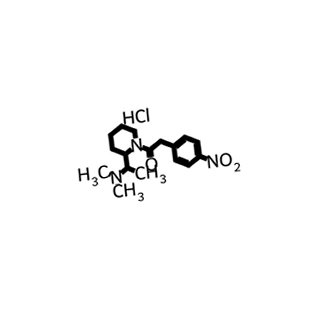 CC(C1CCCCN1C(=O)Cc1ccc([N+](=O)[O-])cc1)N(C)C.Cl